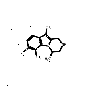 Cc1c2n(c3c(C)c(Cl)ccc13)C(C)CNC2